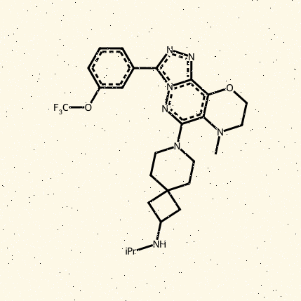 CC(C)NC1CC2(CCN(c3nn4c(-c5cccc(OC(F)(F)F)c5)nnc4c4c3N(C)CCO4)CC2)C1